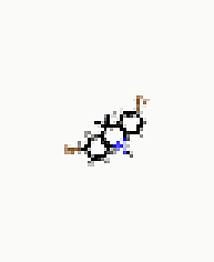 CN1c2ccc(Br)cc2C(C)(C)c2cc(Br)ccc21